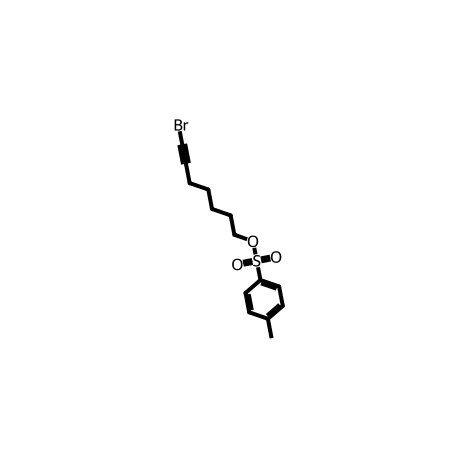 Cc1ccc(S(=O)(=O)OCCCCCC#CBr)cc1